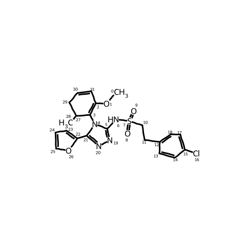 COC1=C(n2c(NS(=O)(=O)CCc3ccc(Cl)cc3)nnc2-c2ccco2)C(C)CC=C1